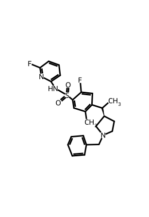 Cc1cc(S(=O)(=O)Nc2cccc(F)n2)c(F)cc1C(C)[C@H]1CCN(Cc2ccccc2)C1